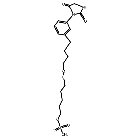 CS(=O)(=O)OCCCCCCOCCCCc1cccc(N2C(=O)CNC2=O)c1